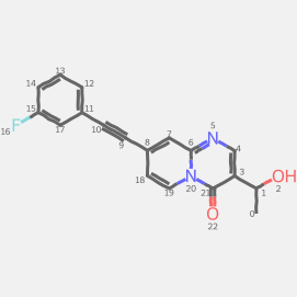 CC(O)c1cnc2cc(C#Cc3cccc(F)c3)ccn2c1=O